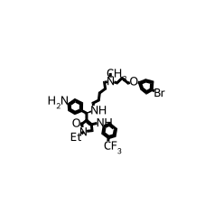 CCN1CC(Nc2cccc(C(F)(F)F)c2)=C([C@H](NCCCCCN(C)CCCOc2ccc(Br)cc2)c2ccc(N)cc2)C1=O